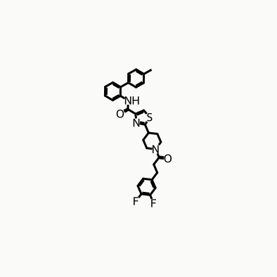 Cc1ccc(-c2ccccc2NC(=O)c2csc(C3CCN(C(=O)CCc4ccc(F)c(F)c4)CC3)n2)cc1